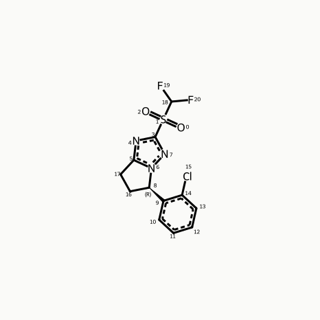 O=S(=O)(c1nc2n(n1)[C@@H](c1ccccc1Cl)CC2)C(F)F